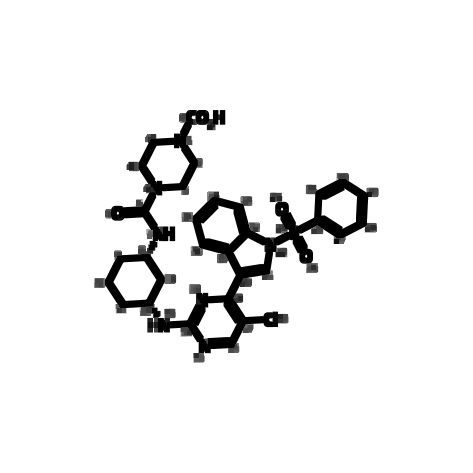 O=C(O)N1CCN(C(=O)N[C@H]2CCC[C@@H](Nc3ncc(Cl)c(-c4cn(S(=O)(=O)c5ccccc5)c5ccccc45)n3)C2)CC1